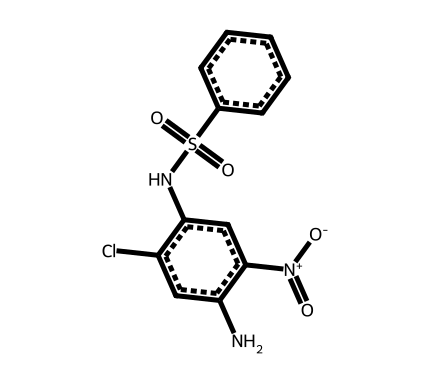 Nc1cc(Cl)c(NS(=O)(=O)c2ccccc2)cc1[N+](=O)[O-]